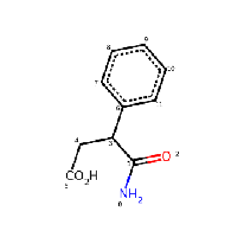 NC(=O)C(CC(=O)O)c1ccccc1